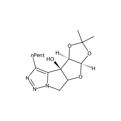 CCCCCc1nnn2c1[C@@]1(O)C(C2)O[C@@H]2OC(C)(C)O[C@@H]21